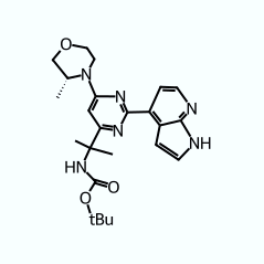 C[C@@H]1COCCN1c1cc(C(C)(C)NC(=O)OC(C)(C)C)nc(-c2ccnc3[nH]ccc23)n1